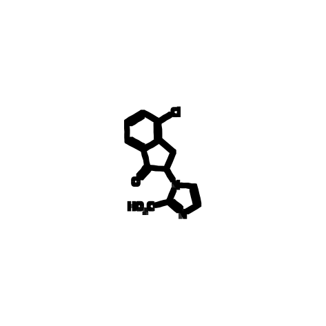 O=C(O)c1nccn1C1Cc2c(Cl)cccc2C1=O